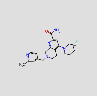 NC(=O)c1cc(N2CCC[C@@H](F)C2)c2c(n1)CN(Cc1ccnc(C(F)(F)F)c1)CC2